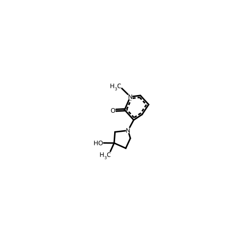 Cn1cccc(N2CCC(C)(O)C2)c1=O